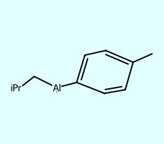 Cc1cc[c]([Al][CH2]C(C)C)cc1